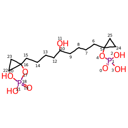 O=P(O)(O)OC1(CCCCC(O)CCCCC2(OP(=O)(O)O)CC2)CC1